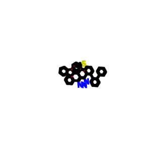 Cc1cc2c(c(-c3c(-c4ccccc4)nnnc3-c3c(-c4ccccc4-c4ccccc4)ccc4sc5ccccc5c34)c1C)Cc1ccccc1-2